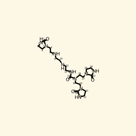 O=C1NCCN1CCNCCNCCNC(=O)N(CCN1CCNC1=O)CCN1CCNC1=O